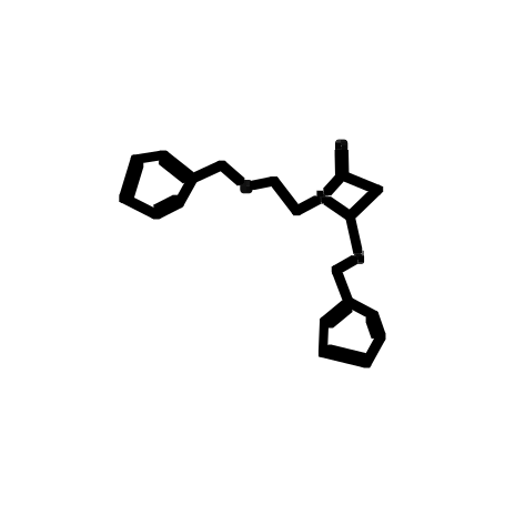 O=C1CC(SCc2ccccc2)N1CCOCc1ccccc1